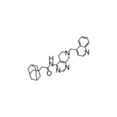 O=C(CC12CC3CC(CC(C3)C1)C2)Nc1ncnc2c1CCN(Cc1ccnc3ccccc13)C2